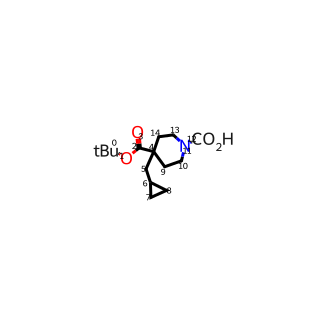 CC(C)(C)OC(=O)C1(CC2CC2)CCN(C(=O)O)CC1